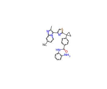 Cc1nc2cc(C#N)ccn2c1-c1csc(C2(c3ccc(C(=O)Nc4ccccc4N)cc3)CC2)n1